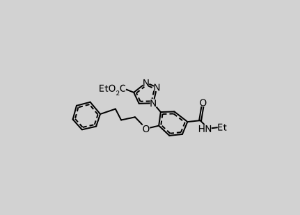 CCNC(=O)c1ccc(OCCCc2ccccc2)c(-n2cc(C(=O)OCC)nn2)c1